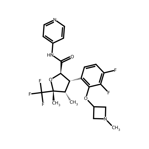 C[C@H]1[C@@H](c2ccc(F)c(F)c2OC2CN(C)C2)[C@H](C(=O)Nc2ccncc2)O[C@@]1(C)C(F)(F)F